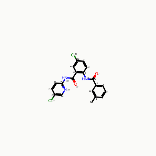 Cc1cccc(C(=O)Nc2ccc(Cl)cc2C(=O)Nc2ccc(Cl)cn2)c1